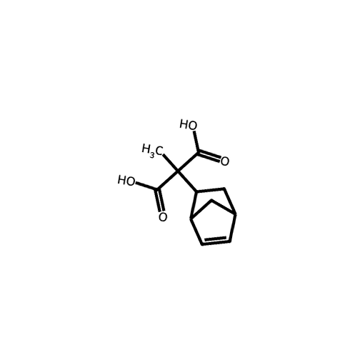 CC(C(=O)O)(C(=O)O)C1CC2C=CC1C2